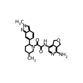 CC1CCC(c2ccc3cn(C)nc3c2)N(C(=O)C(=O)Nc2cnc(N)c3c2COC3)C1